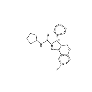 O=C(NC1CCCC1)C1=NN2c3cc(F)ccc3OCC2[C@H]1c1ccccc1